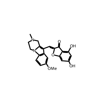 COc1ccc2c(c1)c(C=C1Oc3cc(O)cc(O)c3C1=O)c1n2CCN(C)C1